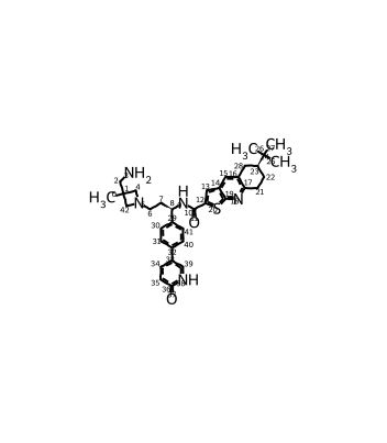 CC1(CN)CN(CC[C@@H](NC(=O)c2cc3cc4c(nc3s2)CC[C@H](C(C)(C)C)C4)c2ccc(-c3ccc(=O)[nH]c3)cc2)C1